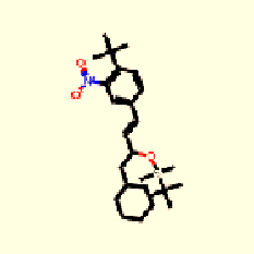 CC(C)(C)c1ccc(C=CC(CC2CCCCC2)O[Si](C)(C)C(C)(C)C)cc1[N+](=O)[O-]